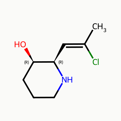 CC(Cl)=C[C@H]1NCCC[C@H]1O